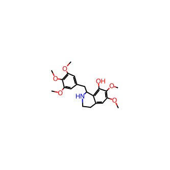 COc1cc(CC2NCCc3cc(OC)c(OC)c(O)c32)cc(OC)c1OC